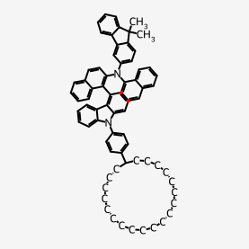 CC1(C)c2ccccc2-c2cc(N(c3ccc4ccccc4c3-c3cccc4c3c3ccccc3n4-c3ccc(C4CCCCCCCCCCCCCCCCCCC4)cc3)c3cccc4ccccc34)ccc21